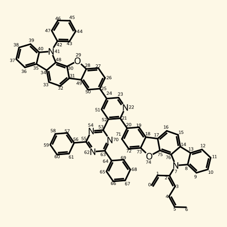 C=C/C(=C\C=C/C)n1c2ccccc2c2ccc3c4cc(-c5ncc(-c6ccc7oc8c(ccc9c%10ccccc%10n(-c%10ccccc%10)c98)c7c6)cc5-c5nc(-c6ccccc6)nc(-c6ccccc6)n5)ccc4oc3c21